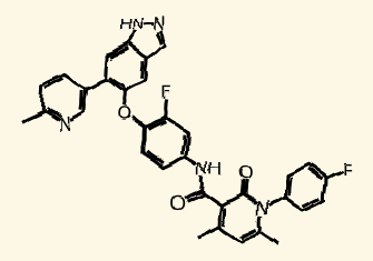 Cc1ccc(-c2cc3[nH]ncc3cc2Oc2ccc(NC(=O)c3c(C)cc(C)n(-c4ccc(F)cc4)c3=O)cc2F)cn1